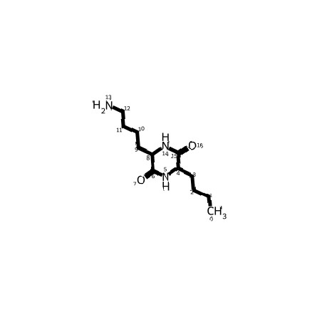 CCCCC1NC(=O)C(CCCCN)NC1=O